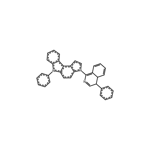 C1=CC2=C(n3ccc4c5c6ccccc6n(-c6ccccc6)c5ccc43)N=CC(c3ccccc3)C2C=C1